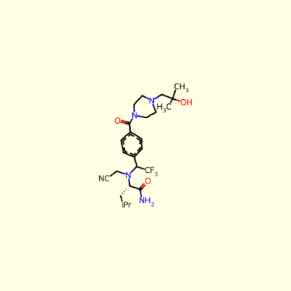 CC(C)C[C@@H](C(N)=O)N(CC#N)C(c1ccc(C(=O)N2CCN(CC(C)(C)O)CC2)cc1)C(F)(F)F